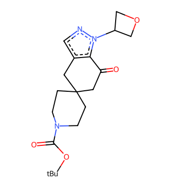 CC(C)(C)OC(=O)N1CCC2(CC1)CC(=O)c1c(cnn1C1COC1)C2